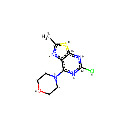 Cc1nc2c(N3CCOCC3)nc(Cl)nc2s1